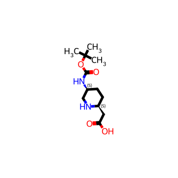 CC(C)(C)OC(=O)N[C@H]1CC[C@@H](CC(=O)O)NC1